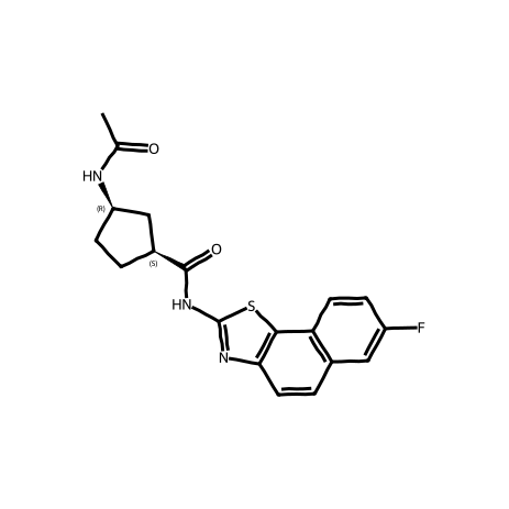 CC(=O)N[C@@H]1CC[C@H](C(=O)Nc2nc3ccc4cc(F)ccc4c3s2)C1